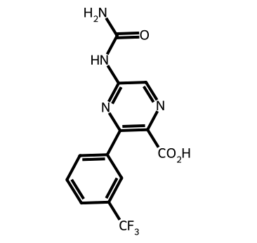 NC(=O)Nc1cnc(C(=O)O)c(-c2cccc(C(F)(F)F)c2)n1